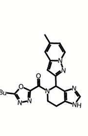 Cc1ccn2nc(C3c4nc[nH]c4CCN3C(=O)c3nnc(C(C)(C)C)o3)cc2c1